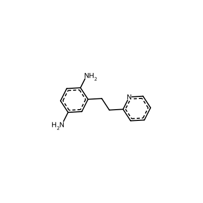 Nc1ccc(N)c(CCc2ccccn2)c1